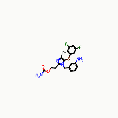 CC(C)c1nc(CCOC(N)=O)n(Cc2cccc(N)c2)c1Sc1cc(F)cc(F)c1